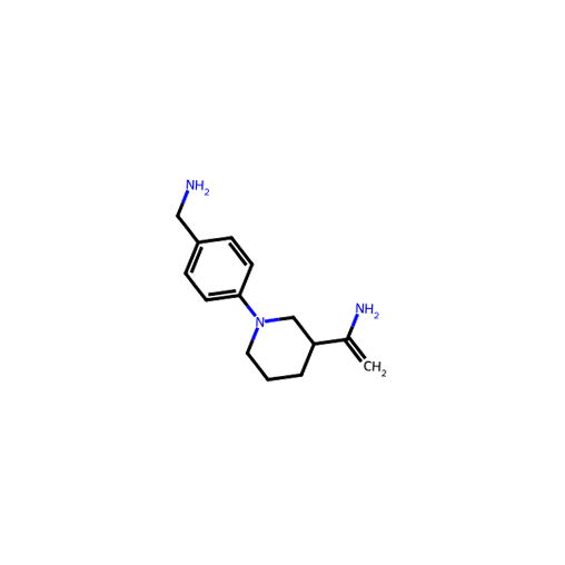 C=C(N)C1CCCN(c2ccc(CN)cc2)C1